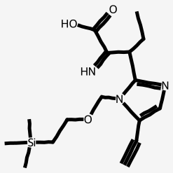 C#Cc1cnc(C(CC)C(=N)C(=O)O)n1COCC[Si](C)(C)C